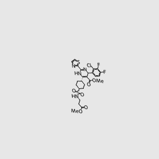 COC(=O)CCNS(=O)(=O)[C@H]1CC[C@H](C2=C(C(=O)OC)C(c3ccc(F)c(F)c3Cl)N=C(c3nccs3)N2)CC1